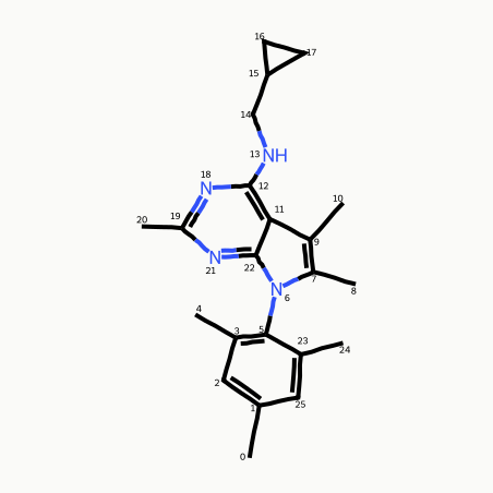 Cc1cc(C)c(-n2c(C)c(C)c3c(NCC4CC4)nc(C)nc32)c(C)c1